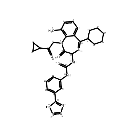 Cc1cccc2c1N(CC(=O)C1CC1)C(=O)C(NC(=O)Nc1cccc(-c3nnn[nH]3)c1)N=C2C1CCCCC1